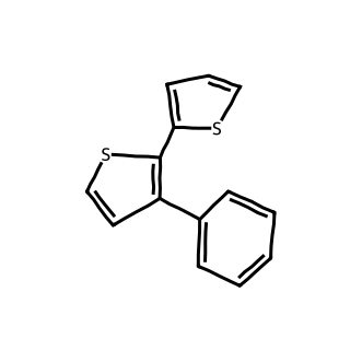 c1ccc(-c2ccsc2-c2cccs2)cc1